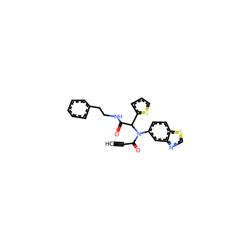 C#CC(=O)N(c1ccc2scnc2c1)C(C(=O)NCCc1ccccc1)c1cccs1